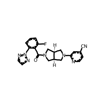 N#Cc1ccnc(N2C[C@H]3CN(C(=O)c4c(F)cccc4-n4nccn4)C[C@H]3C2)c1